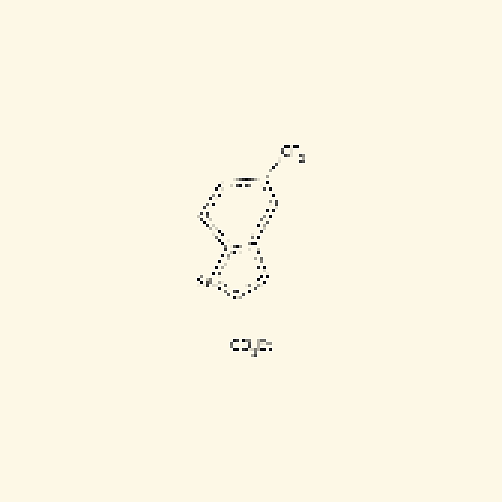 CCOC(=O)c1cc2cc(C(F)(F)F)ccc2[se]1